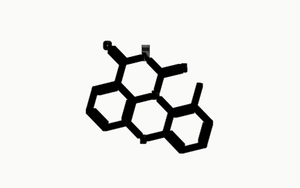 Cc1cccc2c1-n1c(=S)[nH]c(=O)c3cccc(c31)S2